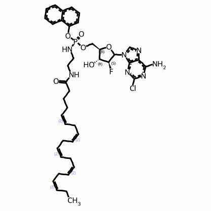 CC/C=C\C/C=C\C/C=C\C/C=C\C/C=C\CCCC(=O)NCCNP(=O)(OC[C@H]1OC(n2cnc3c(N)nc(Cl)nc32)[C@@H](F)[C@@H]1O)Oc1cccc2ccccc12